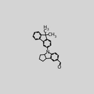 CC1(C)c2ccccc2-c2cc(N3c4ccc(C=O)cc4C4CCCC43)ccc21